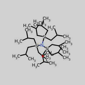 CC(C)C[Si](CC(C)C)(CC(C)C)N([Si](CC(C)C)(CC(C)C)CC(C)C)[Si](CC(C)C)(CC(C)C)CC(C)C